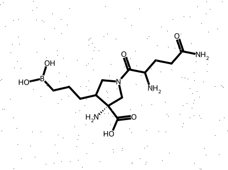 NC(=O)CCC(N)C(=O)N1CC(CCCB(O)O)[C@](N)(C(=O)O)C1